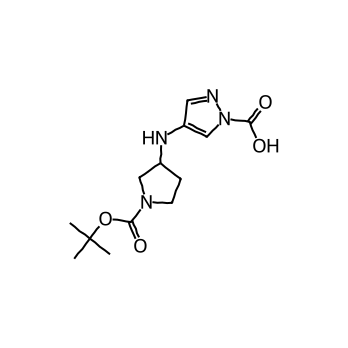 CC(C)(C)OC(=O)N1CCC(Nc2cnn(C(=O)O)c2)C1